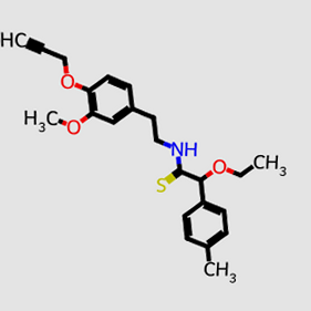 C#CCOc1ccc(CCNC(=S)C(OCC)c2ccc(C)cc2)cc1OC